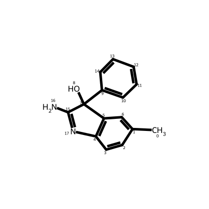 Cc1ccc2c(c1)C(O)(c1ccccc1)C(N)=N2